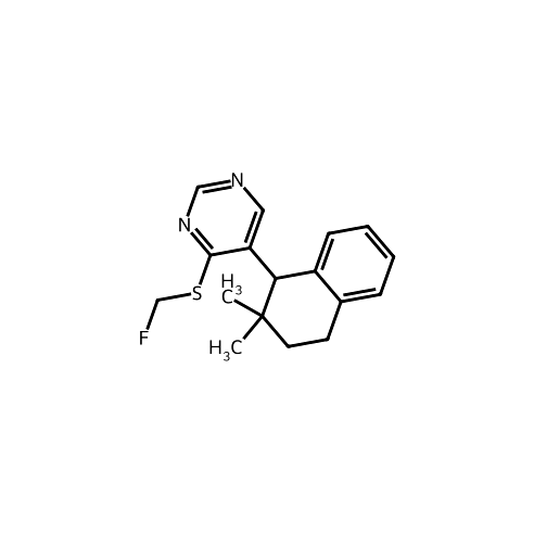 CC1(C)CCc2ccccc2C1c1cncnc1SCF